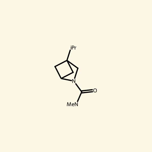 CNC(=O)N1CC2(C(C)C)CC1C2